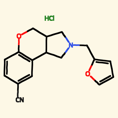 Cl.N#Cc1ccc2c(c1)C1CN(Cc3ccco3)CC1CO2